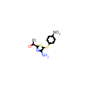 CCC(=O)c1nc(N)c(Sc2ccc([N+](=O)[O-])cc2)s1